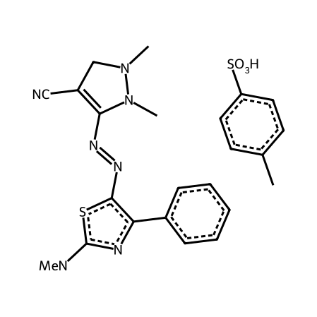 CNc1nc(-c2ccccc2)c(N=NC2=C(C#N)CN(C)N2C)s1.Cc1ccc(S(=O)(=O)O)cc1